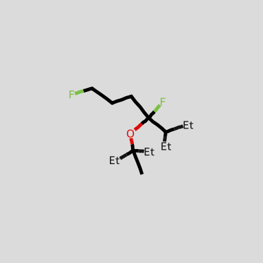 CCC(CC)C(F)(CCCF)OC(C)(CC)CC